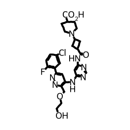 O=C(O)C1CCN(C2CC(C(=O)Nc3cc(Nc4cc(-c5cc(Cl)ccc5F)nnc4COCCO)ncn3)C2)CC1